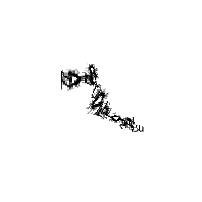 CCC(C)n1ncn(-c2ccc(N3CCN(c4ccc(OC[C@@H]5CO[C@@](Cc6ccnnc6)(c6ccccc6C)O5)cc4)CC3)cc2)c1=O